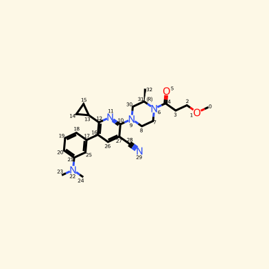 COCCC(=O)N1CCN(c2nc(C3CC3)c(-c3cccc(N(C)C)c3)cc2C#N)C[C@H]1C